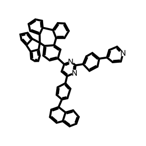 c1ccc2c(c1)-c1ccccc1C1(c3ccc(-c4cc(-c5ccc(-c6cccc7ccccc67)cc5)nc(-c5ccc(-c6ccncc6)cc5)n4)cc3-2)c2ccccc2-c2ccccc21